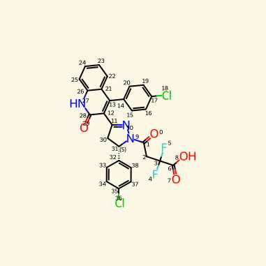 O=C(CC(F)(F)C(=O)O)N1N=C(c2c(-c3ccc(Cl)cc3)c3ccccc3[nH]c2=O)C[C@H]1c1ccc(Cl)cc1